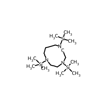 C[Si](C)(C)N1CCCN([Si](C)(C)C)CCN([Si](C)(C)C)CC1